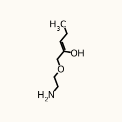 CCC=C(O)COCCN